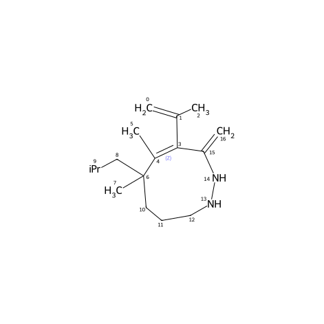 C=C(C)/C1=C(\C)C(C)(CC(C)C)CCCNNC1=C